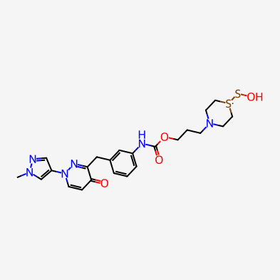 Cn1cc(-n2ccc(=O)c(Cc3cccc(NC(=O)OCCCN4CC[S](SO)CC4)c3)n2)cn1